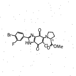 COC(=O)[C@@H]1CCCN1C1=C(Cl)C(=O)c2[nH]c(-c3ccc(Br)c(F)c3)nc2C1=O